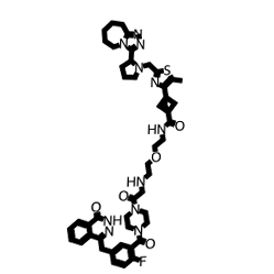 Cc1sc(CN2CCCC2c2nnc3n2CCCCC3)nc1C12CC(C(=O)NCCOCCNCC(=O)N3CCN(C(=O)c4cc(Cc5n[nH]c(=O)c6ccccc56)ccc4F)CC3)(C1)C2